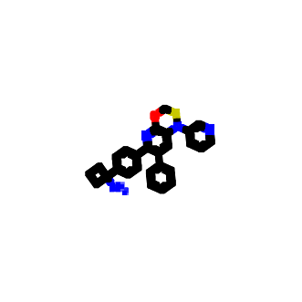 NC1(c2ccc(-c3nc4c(cc3-c3ccccc3)N(c3cccnc3)SCO4)cc2)CCC1